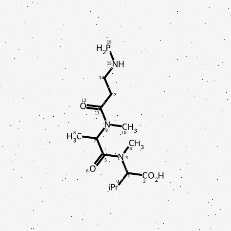 CC(C)C(C(=O)O)N(C)C(=O)C(C)N(C)C(=O)CCNP